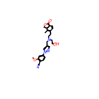 COc1cc(-n2cc(CN(CCO)CCc3ccc4c(c3C)COC4=O)cn2)ccc1C#N